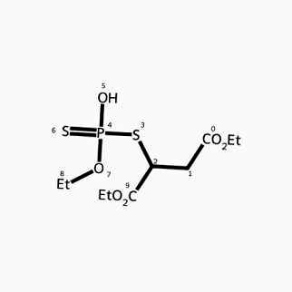 CCOC(=O)CC(SP(O)(=S)OCC)C(=O)OCC